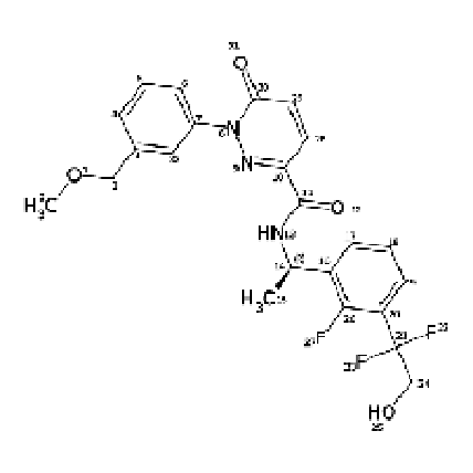 COCc1cccc(-n2nc(C(=O)N[C@H](C)c3cccc(C(F)(F)CO)c3F)ccc2=O)c1